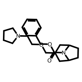 O=C(OCc1ccccc1)N1C2CCC1CC(COCCN1CCCC1)C2